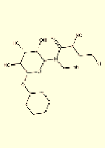 CC(C)CN(C(=O)N(CCCl)N=O)C1O[C@H](OC2CCCCC2)[C@@H](O)[C@H](O)[C@@H]1O